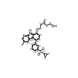 Cc1cnc2[nH]c3c(OCCN(C)CCO)ccc(-c4cccc(S(=O)(=O)C5CC5)c4)c3c2c1